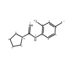 N=C(Nc1ccc(F)cc1F)N1CCCC1